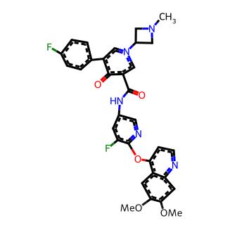 COc1cc2nccc(Oc3ncc(NC(=O)c4cn(C5CN(C)C5)cc(-c5ccc(F)cc5)c4=O)cc3F)c2cc1OC